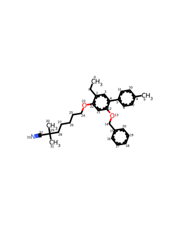 CCc1cc(-c2ccc(C)cc2)c(OCc2ccccc2)cc1OCCCCCC(C)(C)C#N